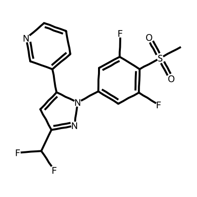 CS(=O)(=O)c1c(F)cc(-n2nc(C(F)F)cc2-c2cccnc2)cc1F